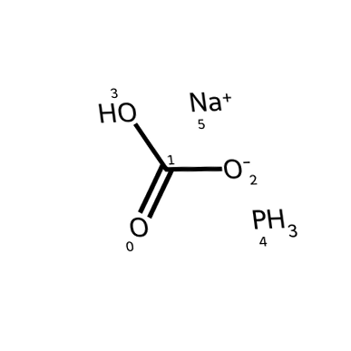 O=C([O-])O.P.[Na+]